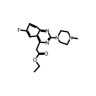 CCOC(=O)Cc1nc(N2CCN(C)CC2)nc2ccc(F)cc12